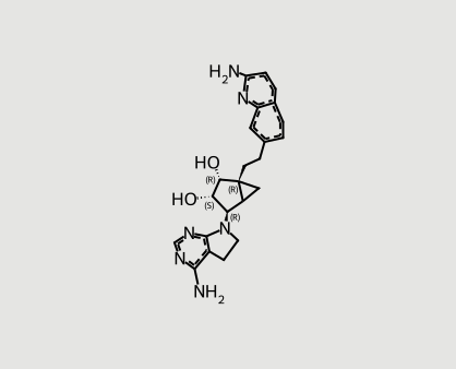 Nc1ccc2ccc(CC[C@@]34CC3[C@@H](N3CCc5c(N)ncnc53)[C@H](O)[C@@H]4O)cc2n1